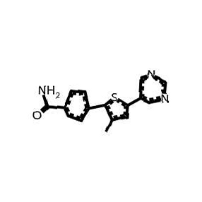 Cc1cc(-c2cncnc2)sc1-c1ccc(C(N)=O)cc1